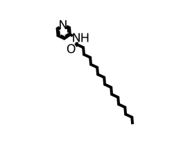 CCCCCCCCCCCCCCCCC(=O)Nc1cccnc1